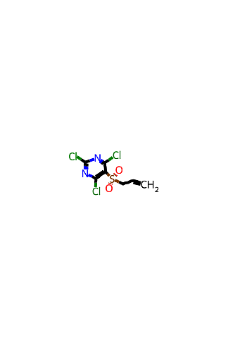 C=CCS(=O)(=O)c1c(Cl)nc(Cl)nc1Cl